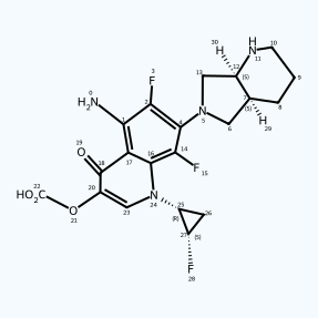 Nc1c(F)c(N2C[C@@H]3CCCN[C@@H]3C2)c(F)c2c1c(=O)c(OC(=O)O)cn2[C@@H]1C[C@@H]1F